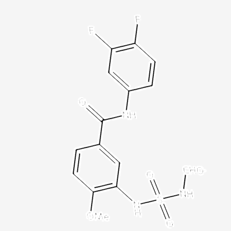 COc1ccc(C(=O)Nc2ccc(F)c(F)c2)cc1NS(=O)(=O)N[C]=O